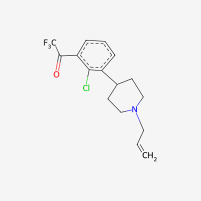 C=CCN1CCC(c2cccc(C(=O)C(F)(F)F)c2Cl)CC1